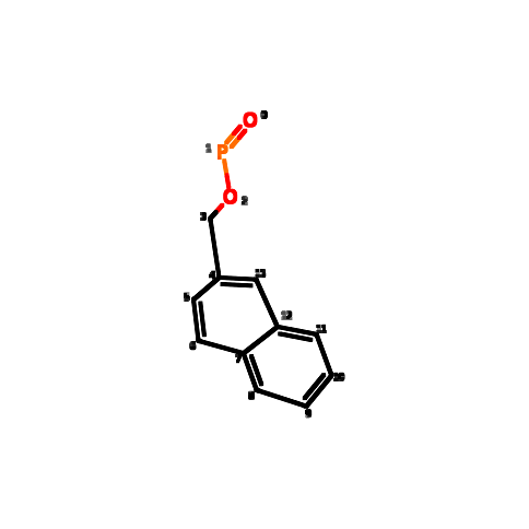 O=POCc1ccc2ccccc2c1